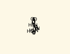 C[C@@]1(O)CCCC1Nc1ncnc2cnc(NC3CCN(S(C)(=O)=O)CC3)nc12